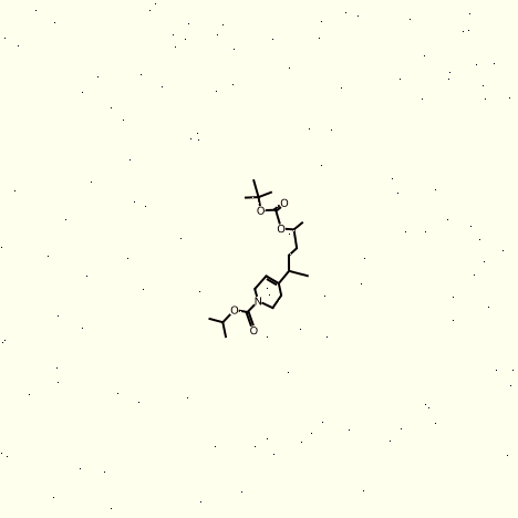 CC(C)OC(=O)N1CC=C(C(C)CCC(C)OC(=O)OC(C)(C)C)CC1